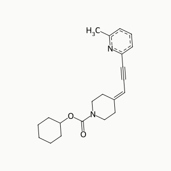 Cc1cccc(C#CC=C2CCN(C(=O)OC3CCCCC3)CC2)n1